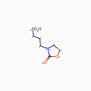 O=C1OCCN1CCCS(=O)(=O)O